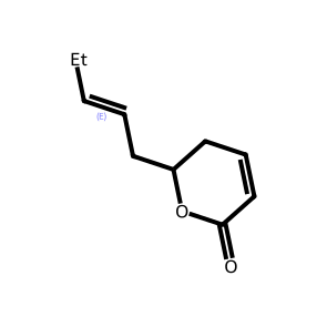 CC/C=C/CC1CC=CC(=O)O1